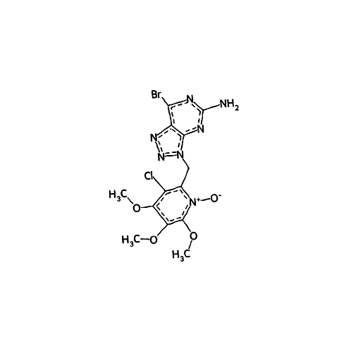 COc1c(Cl)c(Cn2nnc3c(Br)nc(N)nc32)[n+]([O-])c(OC)c1OC